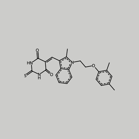 Cc1ccc(OCCn2c(C)c(C=C3C(=O)NC(=S)NC3=O)c3ccccc32)c(C)c1